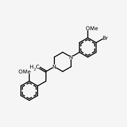 C=C(Cc1ccccc1OC)N1CCN(c2ccc(Br)c(OC)c2)CC1